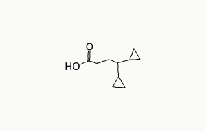 O=C(O)CCC(C1CC1)C1CC1